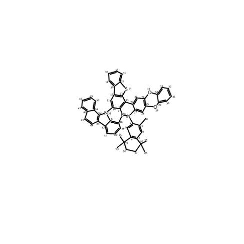 Cc1cc2c(cc1N1B3c4c(cc5c(sc6ccccc65)c4-c4cc5c(cc41)Oc1ccccc1O5)-n1c4c3cccc4c3ccc4ccccc4c31)C(C)(C)CCC2(C)C